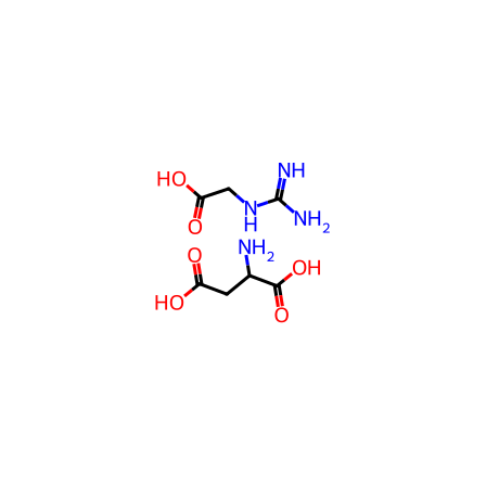 N=C(N)NCC(=O)O.NC(CC(=O)O)C(=O)O